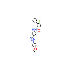 CC(C)Oc1ccc(-n2cnc(-c3ccc(NC(=O)c4ccc(F)c(-c5ccccc5)c4)cc3)n2)cc1